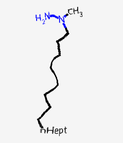 CCCCCCCCCCCCCCCN(C)N